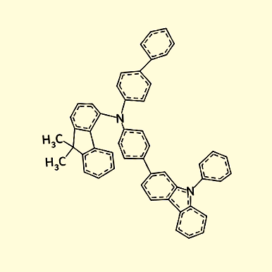 CC1(C)c2ccccc2-c2c(N(c3ccc(-c4ccccc4)cc3)c3ccc(-c4ccc5c6ccccc6n(-c6ccccc6)c5c4)cc3)cccc21